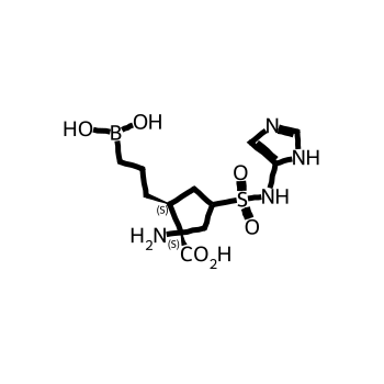 N[C@@]1(C(=O)O)CC(S(=O)(=O)Nc2cnc[nH]2)C[C@@H]1CCCB(O)O